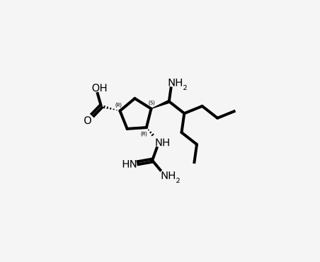 CCCC(CCC)C(N)[C@@H]1C[C@@H](C(=O)O)C[C@H]1NC(=N)N